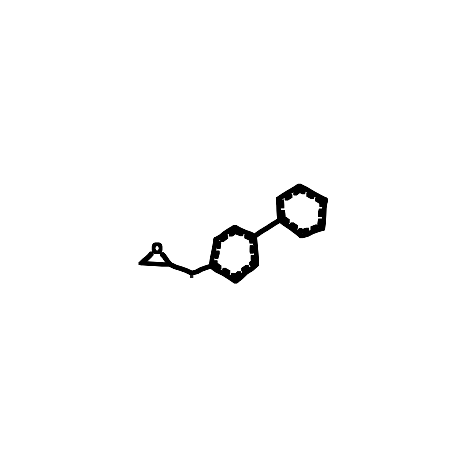 [CH](c1ccc(-c2ccccc2)cc1)C1CO1